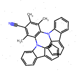 Cc1c(C)c(-n2c3ccccc3c3ccccc32)c(-n2c3ccccc3c3ccccc32)c(C)c1C#N